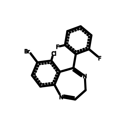 Fc1cccc(F)c1C1=NCC=Nc2ccc(Br)c(Cl)c21